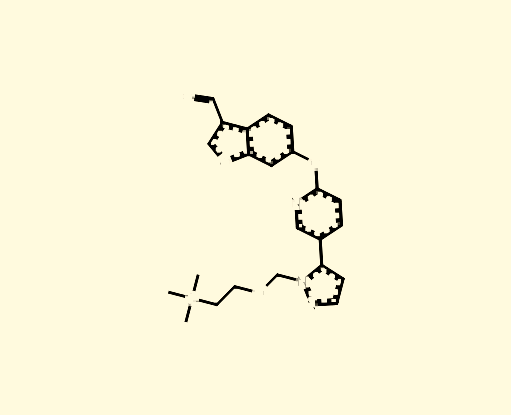 C[Si](C)(C)CCOCn1nccc1-c1ccc(Oc2ccc3c(C=O)coc3c2)nc1